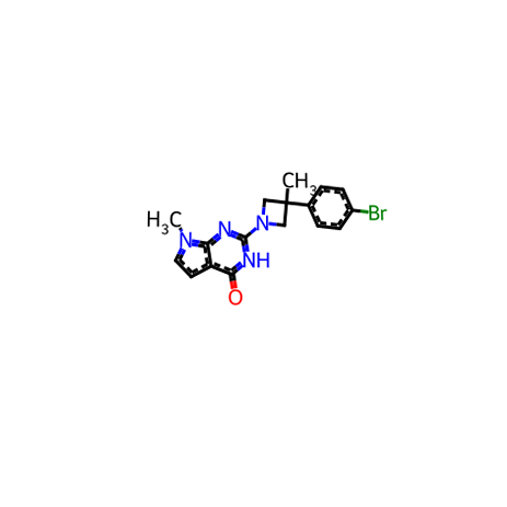 Cn1ccc2c(=O)[nH]c(N3CC(C)(c4ccc(Br)cc4)C3)nc21